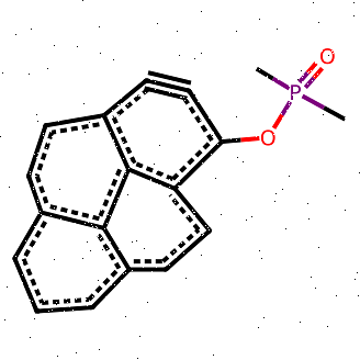 CP(C)(=O)Oc1c#cc2ccc3cccc4ccc1c2c34